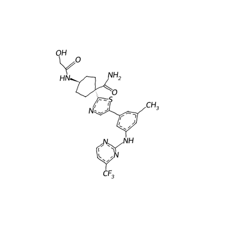 Cc1cc(Nc2nccc(C(F)(F)F)n2)cc(-c2cnc([C@]3(C(N)=O)CC[C@@H](NC(=O)CO)CC3)s2)c1